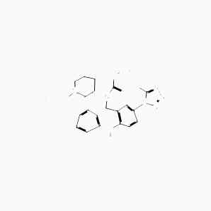 CCOc1ccc(-n2nnnc2C(F)(F)F)cc1CN(C(=O)OC(C)(C)C)[C@H]1CCCN(C(=O)O)[C@H]1c1ccccc1